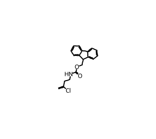 C=C(Cl)CCNC(=O)OCC1c2ccccc2-c2ccccc21